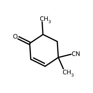 CC1CC(C)(C#N)C=CC1=O